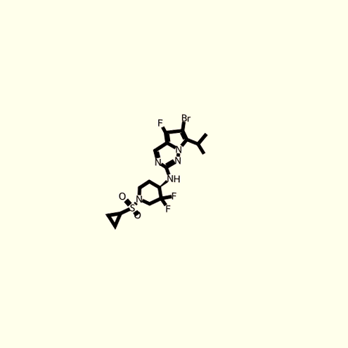 CC(C)c1c(Br)c(F)c2cnc(N[C@@H]3CCN(S(=O)(=O)C4CC4)CC3(F)F)nn12